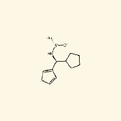 CC(C)(C)[S@+]([O-])N[C@H](c1ccsc1)C1CCCC1